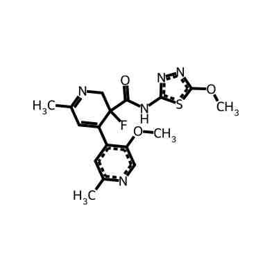 COc1nnc(NC(=O)C2(F)CN=C(C)C=C2c2cc(C)ncc2OC)s1